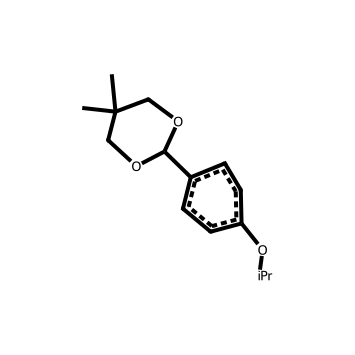 CC(C)Oc1ccc(C2OCC(C)(C)CO2)cc1